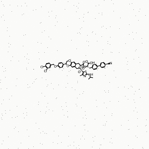 Cc1nc(NC(C)C)sc1S(=O)(=O)N1Cc2cc3c(cc2CC1C(=O)N[C@@H](Cc1ccc(-c2ccc(C#N)cc2)cc1)C(=O)O)OC[C@H](c1ccc(OCc2ccc(Cl)c(Cl)c2)cc1)O3